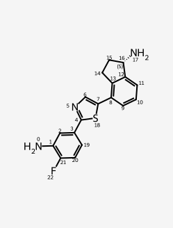 Nc1cc(-c2ncc(-c3cccc4c3CC[C@@H]4N)s2)ccc1F